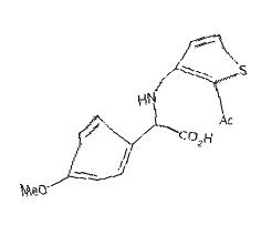 COc1ccc(C(Nc2ccsc2C(C)=O)C(=O)O)cc1